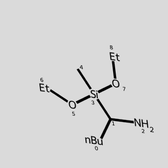 CCCCC(N)[Si](C)(OCC)OCC